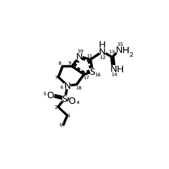 CCCS(=O)(=O)N1CCc2nc(NC(=N)N)sc2C1